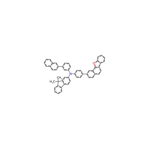 CC1(C)c2ccccc2-c2ccc(N(c3ccc(-c4ccc5ccc6c7ccccc7oc6c5c4)cc3)c3cccc(-c4ccc5ccccc5c4)c3)cc21